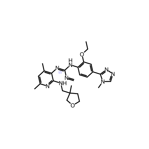 C=N/C(=N\c1c(C)cc(C)nc1NCC1(C)CCOC1)Nc1ccc(-c2nncn2C)cc1OCC